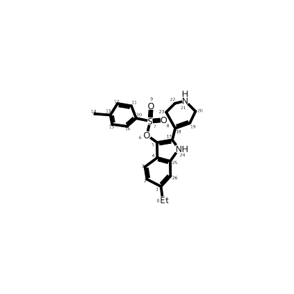 CCc1ccc2c(OS(=O)(=O)c3ccc(C)cc3)c(C3=CCNCC3)[nH]c2c1